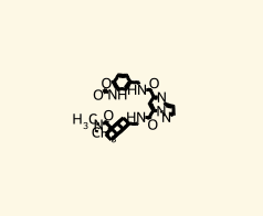 CN(C)C(=O)C12C3C4C1C1C2C3C41CNC(=O)c1cc(C(=O)NCc2ccc3oc(=O)[nH]c3c2)nc2ccnn12